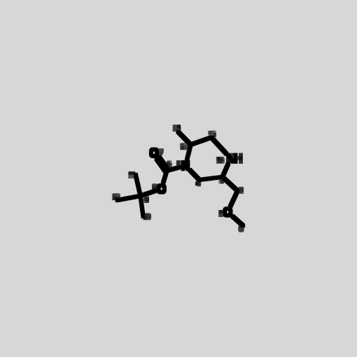 COCC1CN(C(=O)OC(C)(C)C)C(C)CN1